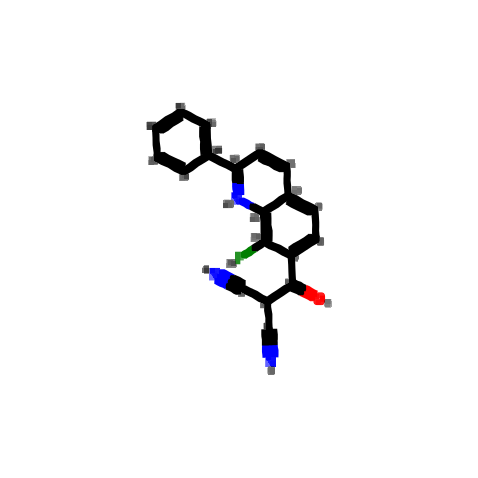 N#CC(C#N)C(=O)c1ccc2ccc(-c3ccccc3)nc2c1F